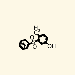 Cc1ccc(O)cc1S(=O)(=O)N1CC2C=CC1CC2